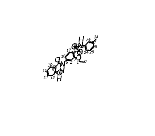 CCOc1cc(NC(=O)[C@@H]2CC=CC[C@H]2O)ccc1S(=O)(=O)Nc1cccc(C)c1